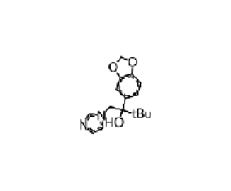 CC(C)(C)C(O)(Cn1ccnc1)c1ccc2c(c1)OCO2